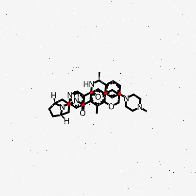 Cc1c(C(=O)N[C@H]2C[C@H]3CC[C@@H](C2)N3c2ccc(C(=O)N[C@@H](C)c3ccc(N4CCN(C)CC4)cc3)cn2)ccc2c1OCCC2